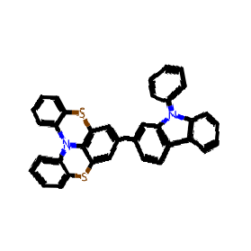 C1=CC2c3ccc(-c4cc5c6c(c4)Sc4ccccc4N6c4ccccc4S5)cc3N(c3ccccc3)C2C=C1